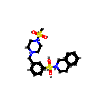 CS(=O)(=O)N1CCN(Cc2cccc(S(=O)(=O)N3CCc4ccccc4C3)c2)CC1